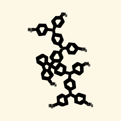 Cc1ccc(N(c2ccc(C)cc2)c2ccc(N(c3ccc(C)cc3)c3ccc(C4(c5ccc(N(c6ccc(C)cc6)c6ccc(N(c7ccc(C)cc7)c7ccc(C)cc7)cc6)cc5)c5ccccc5-c5ccc(C)cc54)cc3)cc2)cc1